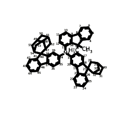 CC1(C)c2ccccc2-c2cccc(N(c3ccc4c(c3)-c3ccccc3C43CC4CCC3C4)c3ccc4c(c3)C3(c5ccccc5-4)C4CC5CC(C4)CC3C5)c21